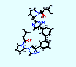 CC(C)CC(=O)N1CCCC1N1C=C(c2cccc(-c3cccc(-c4cnc([C@@H]5CCCN5C(=O)CC(C)C)[nH]4)c3)c2)NC1